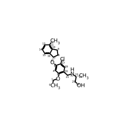 CCOc1cc(O[C@H]2CCc3c(C)cccc32)c(Cl)cc1CN[C@H](C)CO